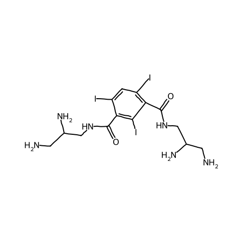 NCC(N)CNC(=O)c1c(I)cc(I)c(C(=O)NCC(N)CN)c1I